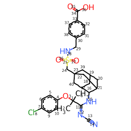 CC(C)(Oc1ccc(Cl)cc1)/C(=N/C#N)NC1C2CC3CC1CC(CS(=O)(=O)NCc1ccc(C(=O)O)cc1)(C3)C2